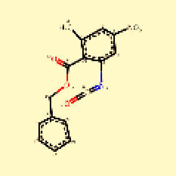 Cc1cc([N+](=O)[O-])cc(N=C=O)c1C(=O)OCc1ccccc1